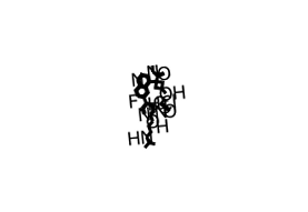 CC(C)NCCOc1ncc(-c2cc3c4c(cnc3cc2F)N(C)C(=O)C42CC(O)C2)cc1NS(C)(=O)=O.Cl